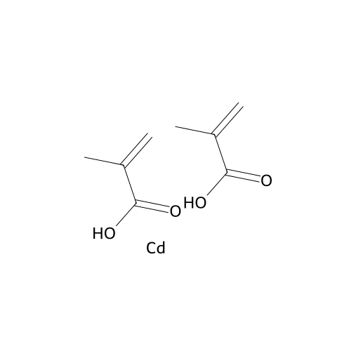 C=C(C)C(=O)O.C=C(C)C(=O)O.[Cd]